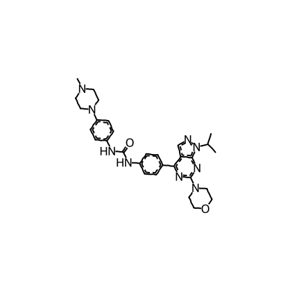 CC(C)n1ncc2c(-c3ccc(NC(=O)Nc4ccc(N5CCN(C)CC5)cc4)cc3)nc(N3CCOCC3)nc21